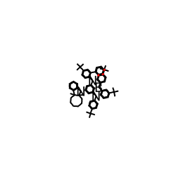 CC(C)(C)c1ccc(N2c3ccc(C(C)(C)C)cc3B3c4ccc(C(C)(C)C)cc4N(c4ccc(C(C)(C)C)cc4-c4ccccc4)c4cc(N5c6ccccc6C6(C)CCCCCCC56C)cc2c43)cc1